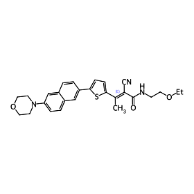 CCOCCNC(=O)/C(C#N)=C(\C)c1ccc(-c2ccc3cc(N4CCOCC4)ccc3c2)s1